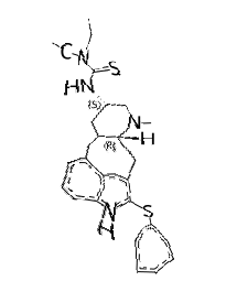 CCN(CC)C(=S)N[C@H]1CC2c3cccc4[nH]c(Sc5ccccc5)c(c34)C[C@H]2N(C)C1